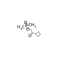 CP(C)(=O)OCC(=O)C1CCC1